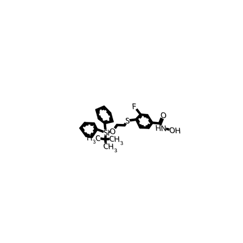 CC(C)(C)[Si](OCCSc1ccc(C(=O)NO)cc1F)(c1ccccc1)c1ccccc1